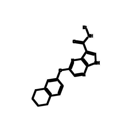 CCNC(=O)c1c[nH]c2ncc(Oc3ccc4c(c3)CCCC4)nc12